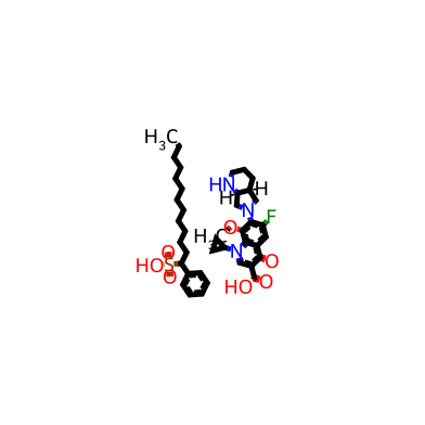 CCCCCCCCCCCCC(c1ccccc1)S(=O)(=O)O.COc1c(N2C[C@@H]3CCCN[C@@H]3C2)c(F)cc2c(=O)c(C(=O)O)cn(C3CC3)c12